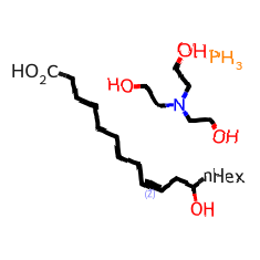 CCCCCCC(O)C/C=C\CCCCCCCC(=O)O.OCCN(CCO)CCO.P